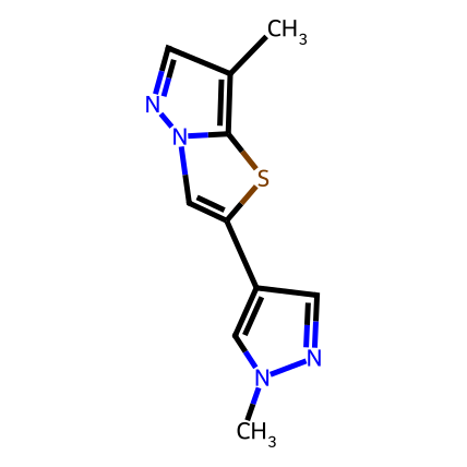 Cc1cnn2cc(-c3cnn(C)c3)sc12